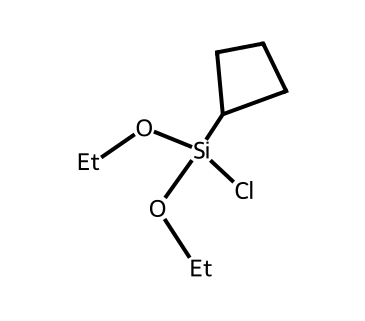 CCO[Si](Cl)(OCC)C1CCC1